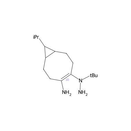 CC(C)C1C2CC/C(N)=C(/N(N)C(C)(C)C)CCC21